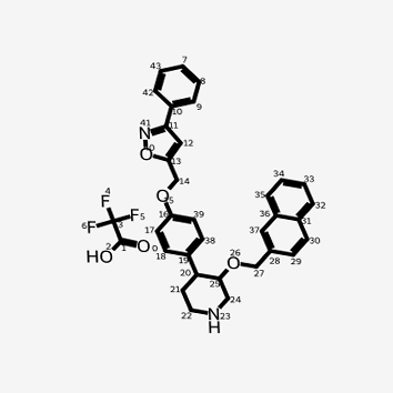 O=C(O)C(F)(F)F.c1ccc(-c2cc(COc3ccc(C4CCNCC4OCc4ccc5ccccc5c4)cc3)on2)cc1